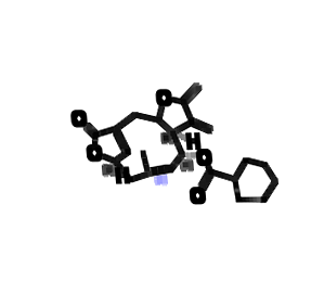 C=C1OC2CC3=C[C@@H](C/C(C)=C/[C@@H](OC(=O)C4CCCCC4)[C@@H]2C1=C)OC3=O